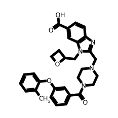 Cc1ccccc1Oc1cccc(C(=O)N2CCN(Cc3nc4ccc(C(=O)O)cc4n3CC3CCO3)CC2)c1